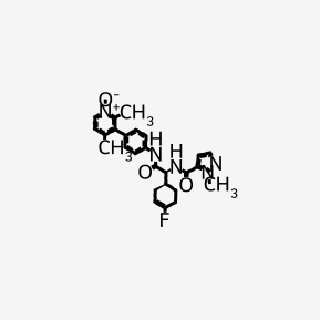 Cc1cc[n+]([O-])c(C)c1-c1ccc(NC(=O)[C@@H](NC(=O)c2ccnn2C)[C@@H]2CC=C(F)CC2)cc1